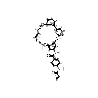 C=CC(=O)Nc1ccc(C(=O)Nc2cc3cc(c2)Nc2nccc(n2)-c2cccc(c2)OCC/C=C/CNC3)cc1